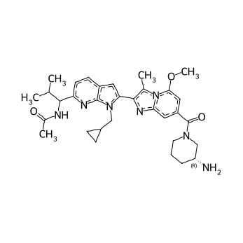 COc1cc(C(=O)N2CCC[C@@H](N)C2)cc2nc(-c3cc4ccc(C(NC(C)=O)C(C)C)nc4n3CC3CC3)c(C)n12